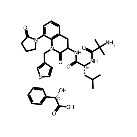 CC(C)C[C@@H](NC(=O)C(C)(C)N)C(=O)NC1Cc2cccc(N3CCCC3=O)c2N(Cc2ccsc2)C1=O.O=C(O)[C@@H](O)c1ccccc1